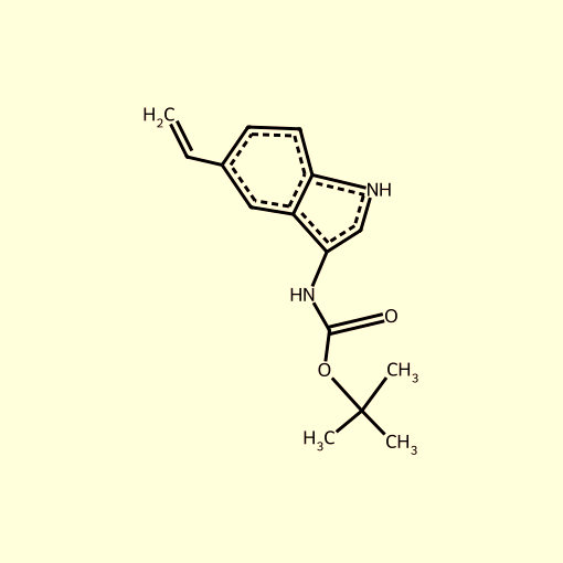 C=Cc1ccc2[nH]cc(NC(=O)OC(C)(C)C)c2c1